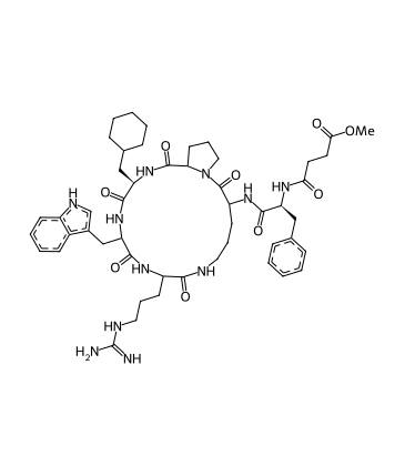 COC(=O)CCC(=O)N[C@@H](Cc1ccccc1)C(=O)NC1CCCNC(=O)C(CCCNC(=N)N)NC(=O)C(Cc2c[nH]c3ccccc23)NC(=O)[C@@H](CC2CCCCC2)NC(=O)C2CCCN2C1=O